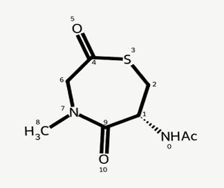 CC(=O)N[C@H]1CSC(=O)CN(C)C1=O